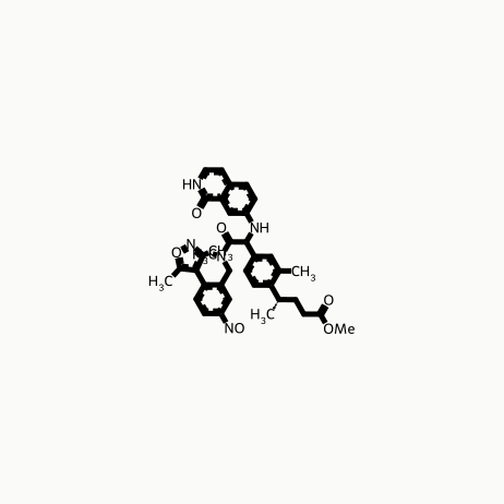 COC(=O)CC[C@H](C)c1ccc(C(Nc2ccc3cc[nH]c(=O)c3c2)C(=O)N(C)Cc2cc(N=O)ccc2-c2c(C)noc2C)cc1C